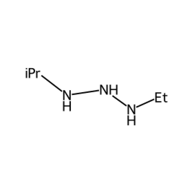 CCNNNC(C)C